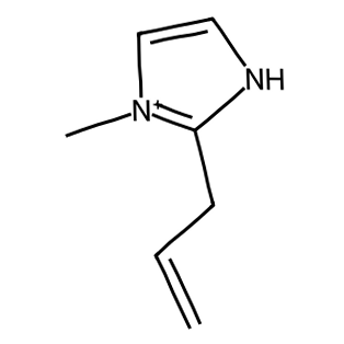 C=CCc1[nH]cc[n+]1C